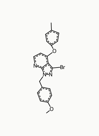 COc1ccc(Cn2nc(Br)c3c(Oc4ccc(C)cc4)ccnc32)cc1